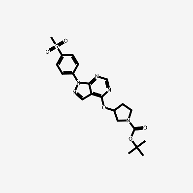 CC(C)(C)OC(=O)N1CCC(Oc2ncnc3c2cnn3-c2ccc(S(C)(=O)=O)cc2)C1